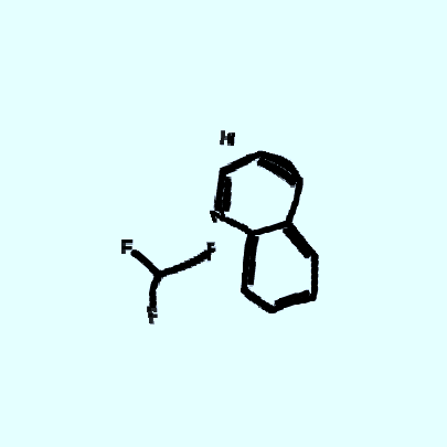 FC(F)F.I.c1ccc2ncccc2c1